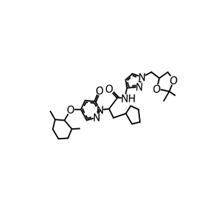 CC1CCCC(C)C1Oc1cnn(C(CC2CCCC2)C(=O)Nc2ccn(CC3COC(C)(C)O3)n2)c(=O)c1